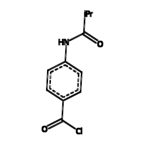 CC(C)C(=O)Nc1ccc(C(=O)Cl)cc1